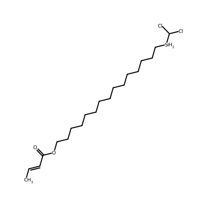 CC=CC(=O)OCCCCCCCCCCCCCCC[SiH2]C(Cl)Cl